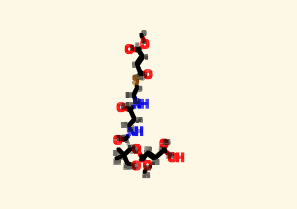 COC(=O)/C=C/C(=O)SCCNC(=O)CCNC(=O)[C@@H]1OC(/C=C/C(=O)O)(OC)OCC1(C)C